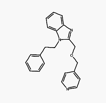 c1ccc(CCn2c(COCc3ccncc3)nc3ccccc32)cc1